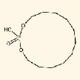 O=P1(O)OCCCCCCCCCCCO1